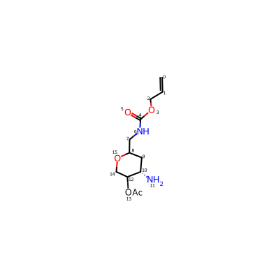 C=CCOC(=O)NCC1C[C@H](N)C(OC(C)=O)CO1